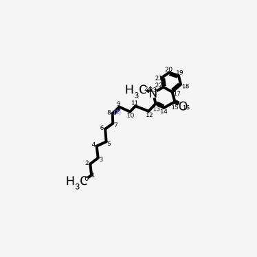 CCCCCCCC/C=C\CCCc1cc(=O)c2ccccc2n1C